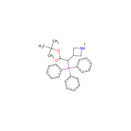 CC(C)(C)OC(=O)C(C1CNC1)[P+](c1ccccc1)(c1ccccc1)c1ccccc1.[I-]